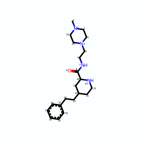 CN1CCN(CCNC(=O)C2CC(CCc3ccccc3)CCN2)CC1